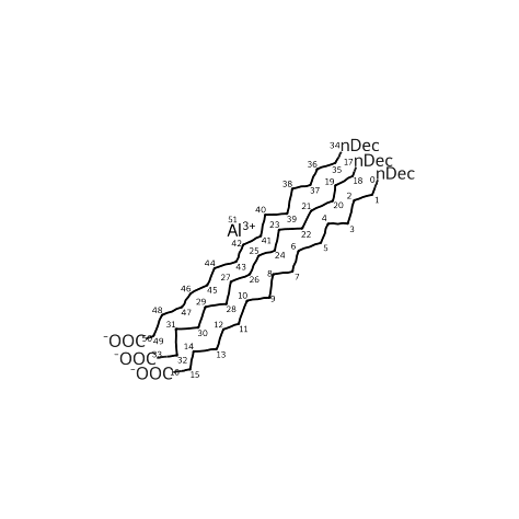 CCCCCCCCCCCCCCCCCCCCCCCCCC(=O)[O-].CCCCCCCCCCCCCCCCCCCCCCCCCC(=O)[O-].CCCCCCCCCCCCCCCCCCCCCCCCCC(=O)[O-].[Al+3]